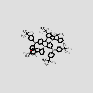 CC(C)(C)c1ccc(N(c2ccc(C(C)(C)C)cc2)c2ccc3c(c2)N(c2cccc4c2sc2ccccc24)c2cc(N(c4ccc(C(C)(C)C)cc4)c4ccc(C(C)(C)C)cc4)cc4c2B3c2cc(C(C)(C)C)cc3c5c(n-4c23)-c2ccccc2C5(C)C)cc1